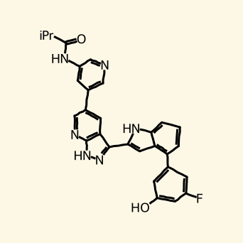 CC(C)C(=O)Nc1cncc(-c2cnc3[nH]nc(-c4cc5c(-c6cc(O)cc(F)c6)cccc5[nH]4)c3c2)c1